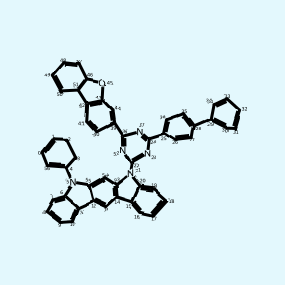 C1=CCCC(n2c3ccccc3c3cc4c5ccccc5n(-c5nc(-c6ccc(-c7ccccc7)cc6)nc(-c6ccc7c(c6)OC6C=CC=CC76)n5)c4cc32)=C1